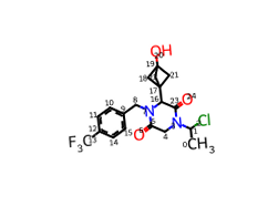 CC(Cl)N1CC(=O)N(Cc2ccc(C(F)(F)F)cc2)C(C23CC(O)(C2)C3)C1=O